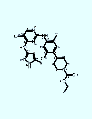 CCOC(=O)N1CCC(c2cc(C)c(Nc3ncc(Cl)c(Nc4cc(C)[nH]n4)n3)cc2Cl)CC1